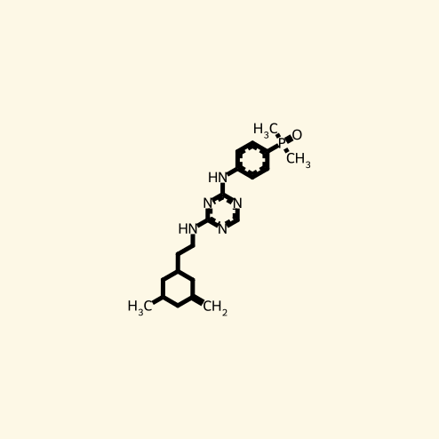 C=C1CC(C)CC(CCNc2ncnc(Nc3ccc(P(C)(C)=O)cc3)n2)C1